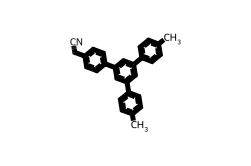 Cc1ccc(-c2cc(-c3ccc(C)cc3)cc(-c3ccc(CC#N)cc3)c2)cc1